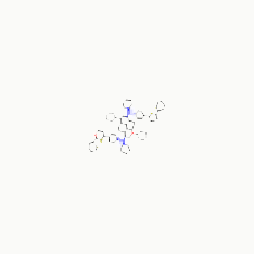 c1ccc(N(c2ccc(-c3cccc4c3sc3ccccc34)cc2)c2cc(C3CCCCC3)c3ccc4c(N(c5ccccc5)c5ccc(-c6cccc7c6sc6ccccc67)cc5)cc(C5CCCCC5)c5ccc2c3c54)cc1